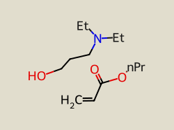 C=CC(=O)OCCC.CCN(CC)CCCO